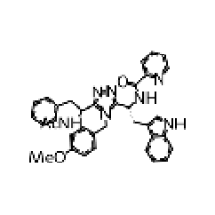 COc1ccc(Cn2c(C(Cc3ccccc3)NC(C)=O)nnc2[C@@H](Cc2c[nH]c3ccccc23)NC(=O)c2ccccn2)cc1